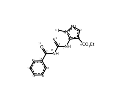 CCOC(=O)c1cnn(I)c1NC(=S)NC(=O)c1ccccc1